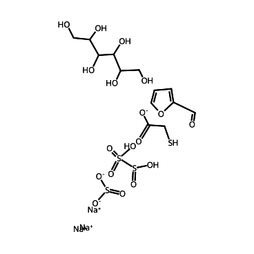 O=C([O-])CS.O=Cc1ccco1.O=S(O)S(=O)(=O)O.O=S([O-])[O-].OCC(O)C(O)C(O)C(O)CO.[Na+].[Na+].[Na+]